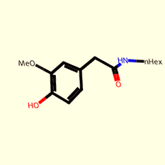 CCCCCCNC(=O)Cc1ccc(O)c(OC)c1